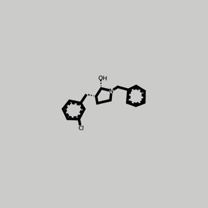 O[C@H]1[C@@H](Cc2cccc(Cl)c2)CCN1Cc1ccccc1